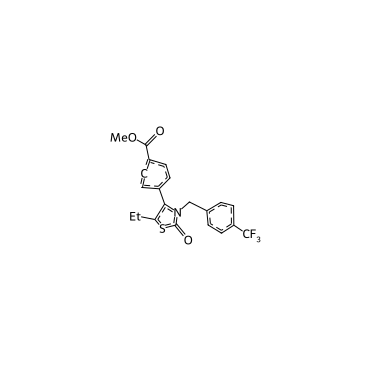 CCc1sc(=O)n(Cc2ccc(C(F)(F)F)cc2)c1-c1ccc(C(=O)OC)cc1